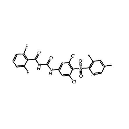 Cc1cnc(S(=O)(=O)c2c(Cl)cc(NC(=O)NC(=O)c3c(F)cccc3F)cc2Cl)c(C)c1